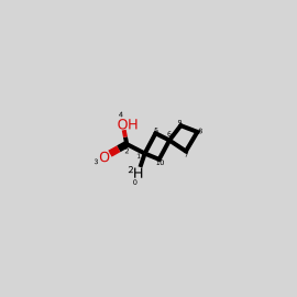 [2H]C1(C(=O)O)CC2(CCC2)C1